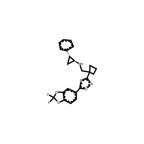 FC1(F)Oc2ccc(-c3nc(C4(CN[C@H]5C[C@@H]5c5ccccc5)CCC4)no3)cc2O1